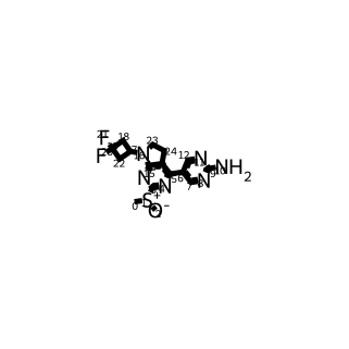 C[S+]([O-])c1nc(-c2cnc(N)nc2)c2c(n1)N(C1CC(F)(F)C1)CC2